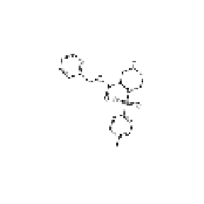 Cc1ccc(S(=O)(=O)N2CCNCC2C(=O)OCc2ccccc2)cc1